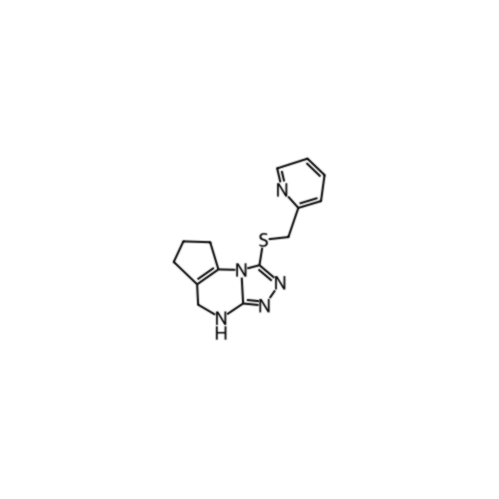 c1ccc(CSc2nnc3n2C2=C(CCC2)CN3)nc1